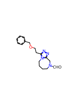 O=CN1CCCCn2c(CCOCc3ccccc3)nnc2C1